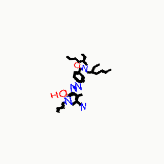 CCCCC(CC)CN(CC(CC)CCCC)C(=O)c1ccc(/N=N/C2=C(O)N(CCCC)CC(C#N)=C2C)cc1